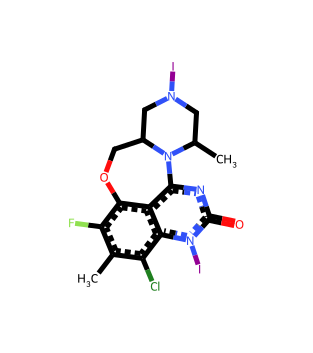 Cc1c(F)c2c3c(nc(=O)n(I)c3c1Cl)N1C(C)CN(I)CC1CO2